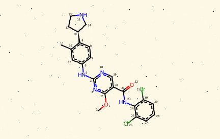 COc1nc(Nc2ccc([C@H]3CCNC3)c(C)c2)ncc1C(=O)Nc1c(Cl)cccc1Br